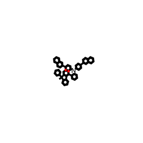 CC1(c2ccccc2)c2ccccc2-c2c(-c3ccccc3N(c3ccc(-c4ccc5ccccc5c4)cc3)c3ccc(-c4ccc5ccccc5c4)cc3)cccc21